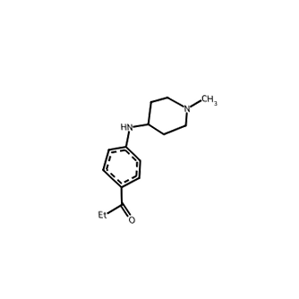 CCC(=O)c1ccc(NC2CCN(C)CC2)cc1